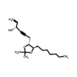 C=C[C@@H](O)C#CC[C@H]1OC(C)(C)O[C@@H]1CCCCCCC